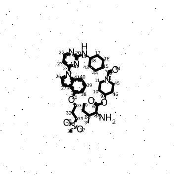 CC[C@H](C)[C@H](N)C(=O)OC1CCN(C(=O)[C@H]2CC[C@H](Nc3nccc(-n4ccc5c(OCCCS(C)(=O)=O)cccc54)n3)CC2)CC1